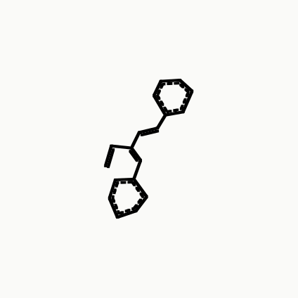 C=CC(C=Cc1ccccc1)=Cc1ccccc1